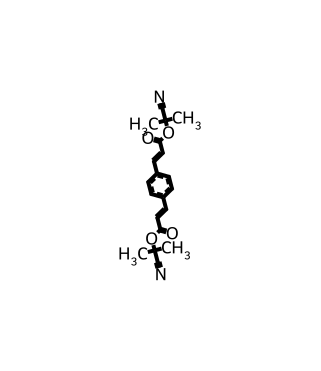 CC(C)(C#N)OC(=O)/C=C/c1ccc(/C=C/C(=O)OC(C)(C)C#N)cc1